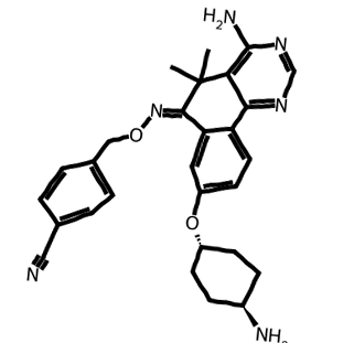 CC1(C)/C(=N/OCc2ccc(C#N)cc2)c2cc(O[C@H]3CC[C@H](N)CC3)ccc2-c2ncnc(N)c21